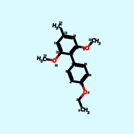 CCOc1ccc(-c2c(OC)cc(C)cc2OC)cc1